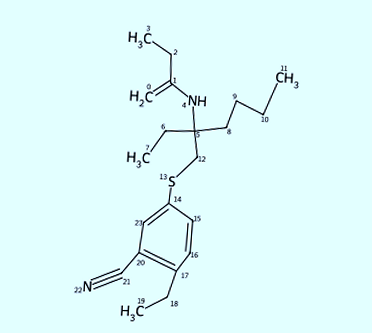 C=C(CC)NC(CC)(CCCC)CSc1ccc(CC)c(C#N)c1